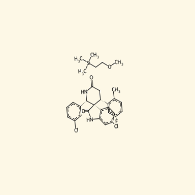 COCC[Si](C)(C)C.Cc1ccc(F)cc1[C@H]1CC(=O)N[C@@H](c2cccc(Cl)c2)[C@]12C(=O)Nc1cc(Cl)ccc12